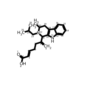 C=C(CC/C=C/C(=O)O)C1c2[nH]c3ccccc3c2CC(C)N1CC(C)C